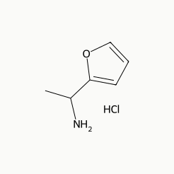 CC(N)c1ccco1.Cl